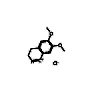 COc1cc2c(cc1OC)CCN=[C+]2.[Cl-]